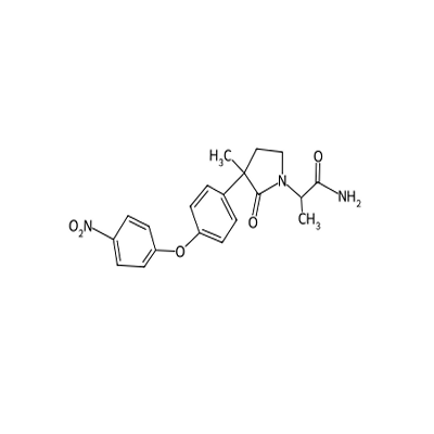 CC(C(N)=O)N1CCC(C)(c2ccc(Oc3ccc([N+](=O)[O-])cc3)cc2)C1=O